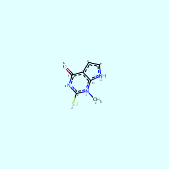 Cn1c(S)nc(=O)c2cc[nH]c21